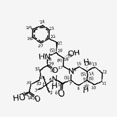 CC(C)(C)NC(=O)[C@@H]1C[C@@H]2CCCC[C@@H]2CN1C[C@@H](O)[C@H](Cc1ccccc1)NC(=O)CCCC(=O)O